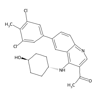 CC(=O)c1cnc2ccc(-c3cc(Cl)c(C)c(Cl)c3)cc2c1N[C@H]1CC[C@H](O)CC1